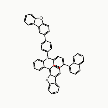 c1ccc(N(c2ccc(-c3ccc4oc5ccccc5c4c3)cc2)c2ccc(-c3cccc4ccccc34)cc2)c(-c2cccc3c2sc2ccccc23)c1